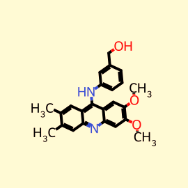 COc1cc2nc3cc(C)c(C)cc3c(Nc3cccc(CO)c3)c2cc1OC